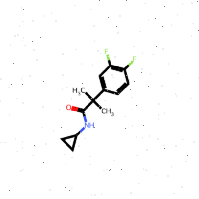 CC(C)(C(=O)NC1CC1)c1ccc(F)c(F)c1